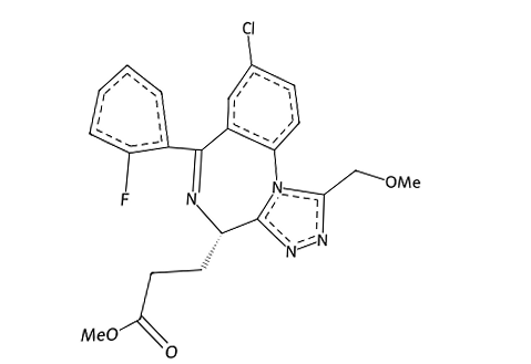 COCc1nnc2n1-c1ccc(Cl)cc1C(c1ccccc1F)=N[C@H]2CCC(=O)OC